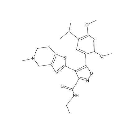 CCNC(=O)c1noc(-c2cc(C(C)C)c(OC)cc2OC)c1-c1cc2c(s1)CCN(C)C2